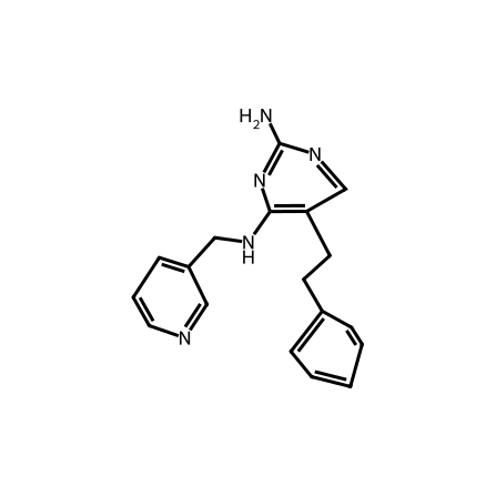 Nc1ncc(CCc2ccccc2)c(NCc2cccnc2)n1